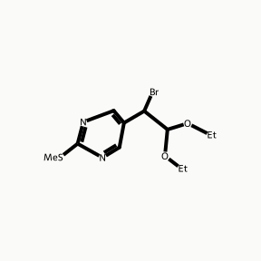 CCOC(OCC)C(Br)c1cnc(SC)nc1